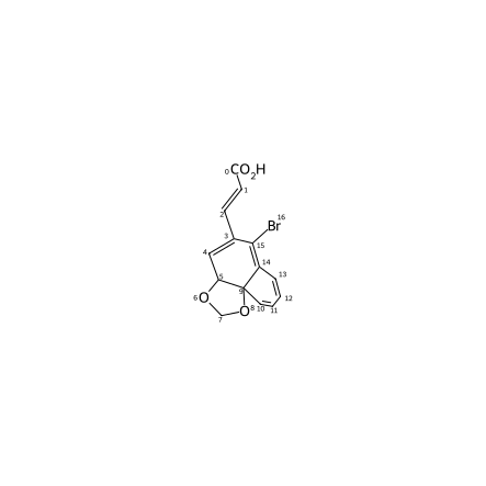 O=C(O)C=CC1=CC2OCOC23C=CC=CC3=C1Br